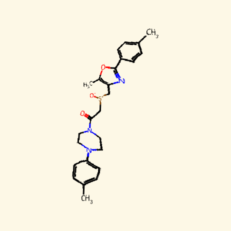 Cc1ccc(-c2nc(C[S+]([O-])CC(=O)N3CCN(c4ccc(C)cc4)CC3)c(C)o2)cc1